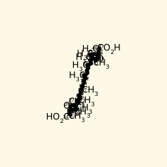 CC1=C(/C=C/C(C)=C/C=C/C(C)=C/C=C/C=C(C)/C=C/C=C(C)/C=C/C2=C(C)C(=O)C(SC(C)C(=O)O)CC2(C)C)C(C)(C)CC(SC(C)C(=O)O)C1=O